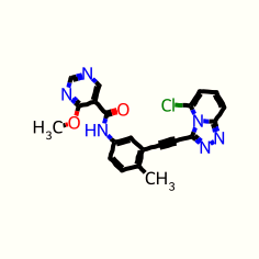 COc1ncncc1C(=O)Nc1ccc(C)c(C#Cc2nnc3cccc(Cl)n23)c1